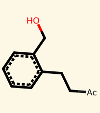 CC(=O)CCc1ccccc1CO